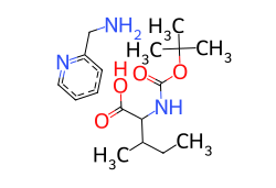 CCC(C)C(NC(=O)OC(C)(C)C)C(=O)O.NCc1ccccn1